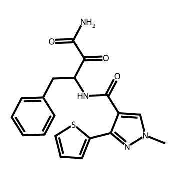 Cn1cc(C(=O)NC(Cc2ccccc2)C(=O)C(N)=O)c(-c2cccs2)n1